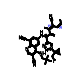 C=C(/C(C)=C(C#N)\C=C/C)[C@H](Nc1cc(C#N)c2ncc(C#N)c(NCC(C)(C)C)c2c1)c1cn(C2(CF)CC2)nn1